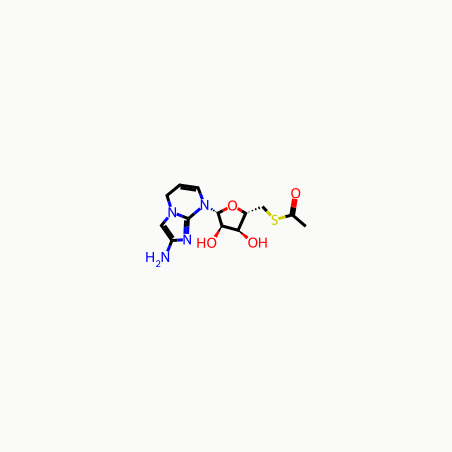 CC(=O)SC[C@H]1O[C@@H](N2C=CCn3cc(N)nc32)[C@H](O)[C@@H]1O